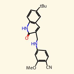 COc1cc(NCc2cc3cc(C(C)(C)C)ccc3[nH]c2=O)ccc1C#N